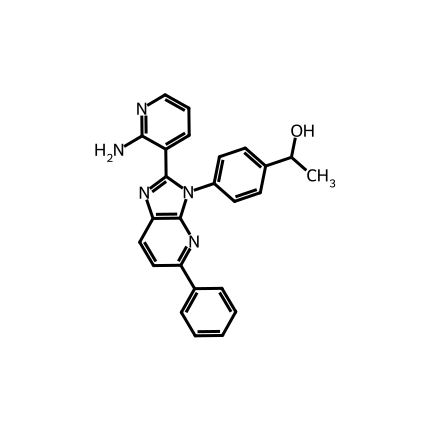 CC(O)c1ccc(-n2c(-c3cccnc3N)nc3ccc(-c4ccccc4)nc32)cc1